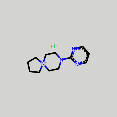 [Cl-].c1cnc(N2CC[N+]3(CCCC3)CC2)nc1